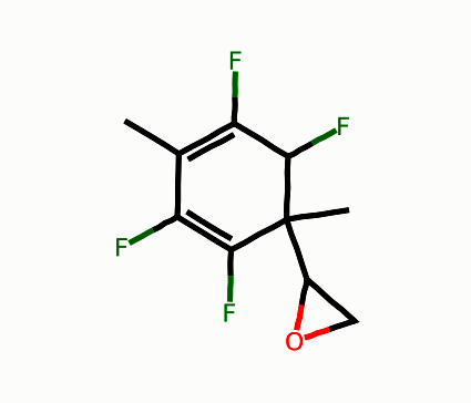 CC1=C(F)C(F)C(C)(C2CO2)C(F)=C1F